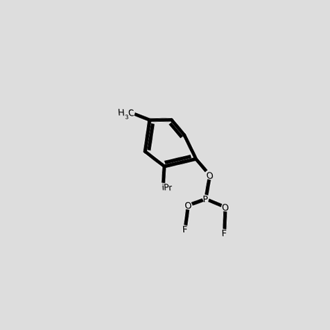 Cc1ccc(OP(OF)OF)c(C(C)C)c1